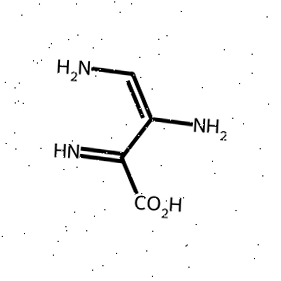 N=C(C(=O)O)/C(N)=C\N